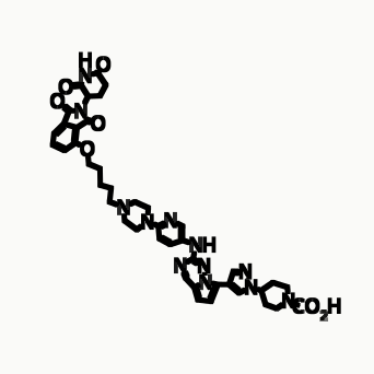 O=C1CCC(N2C(=O)c3cccc(OCCCCCN4CCN(c5ccc(Nc6ncc7ccc(-c8cnn(C9CCN(C(=O)O)CC9)c8)n7n6)cn5)CC4)c3C2=O)C(=O)N1